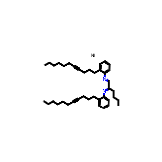 CCCCCCC#CCCCc1ccccc1N=CC(CCCC)=Nc1ccccc1CCCC#CCCCCCC.[Ni]